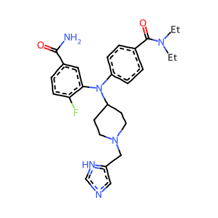 CCN(CC)C(=O)c1ccc(N(c2cc(C(N)=O)ccc2F)C2CCN(Cc3cnc[nH]3)CC2)cc1